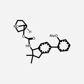 COc1ccccc1-c1ccc2c(c1)CC(C)(C)C2NC(=O)O[C@H]1CN2CCC1CC2